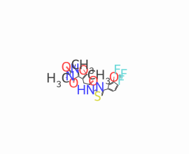 Cc1oc2c(c1CC(=O)Nc1nc(-c3cccc(OC(F)(F)F)c3)cs1)c(=O)n(C)c(=O)n2C